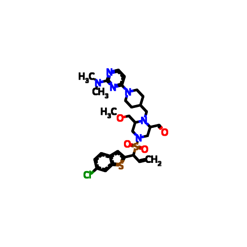 C=CC(c1cc2ccc(Cl)cc2s1)S(=O)(=O)N1CC(C=O)N(CC2CCN(c3ccnc(N(C)C)n3)CC2)C(COC)C1